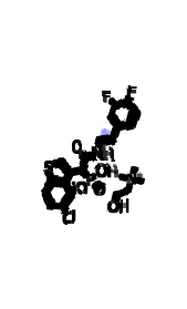 C[N+](C)(C)CCO.O=C(N/C=C/c1ccc(F)c(F)c1)C(c1csc2ccc(Cl)cc12)P(=O)(O)O